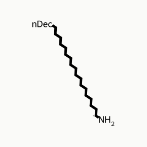 CCCCCCCCCCCCCCCCCCCCCCCCCCC[CH]N